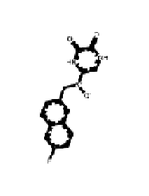 O=c1[nH]cc([S+]([O-])Cc2ccc3cc(F)ccc3c2)[nH]c1=O